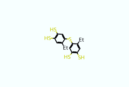 CCc1cc(S)c(S)cc1Sc1cc(S)c(S)cc1CC